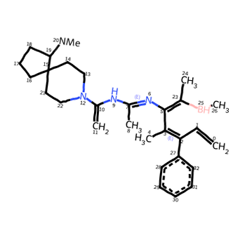 C=C/C(=C(/C)C(/N=C(\C)NC(=C)N1CCC2(CCCC2NC)CC1)=C(C)BC)c1ccccc1